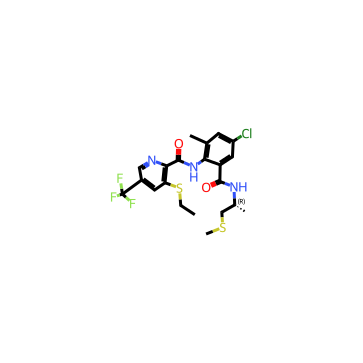 CCSc1cc(C(F)(F)F)cnc1C(=O)Nc1c(C)cc(Cl)cc1C(=O)N[C@H](C)CSC